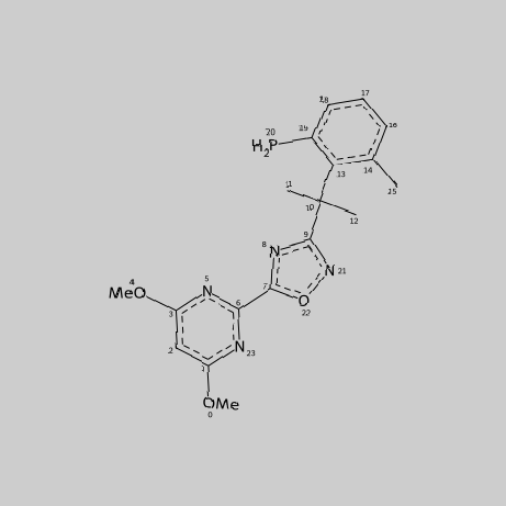 COc1cc(OC)nc(-c2nc(C(C)(C)c3c(C)cccc3P)no2)n1